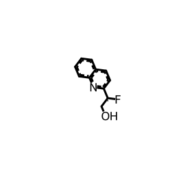 OC[C](F)c1ccc2ccccc2n1